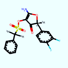 [2H]C([2H])(c1ccccc1)S(=O)(=O)OC1=C(N)O[C@]([2H])(c2ccc(F)c(F)c2)C1=O